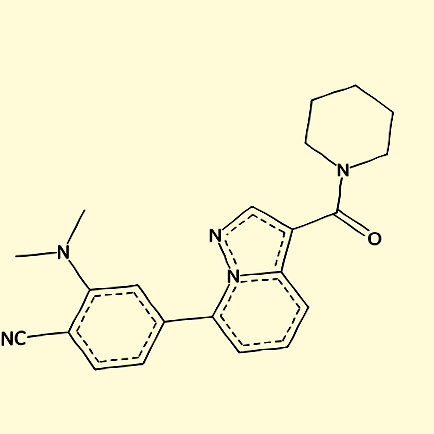 CN(C)c1cc(-c2cccc3c(C(=O)N4CCCCC4)cnn23)ccc1C#N